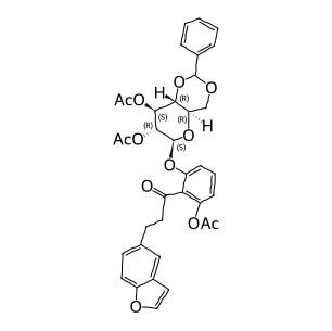 CC(=O)Oc1cccc(O[C@@H]2O[C@@H]3COC(c4ccccc4)O[C@H]3[C@H](OC(C)=O)[C@H]2OC(C)=O)c1C(=O)CCc1ccc2occc2c1